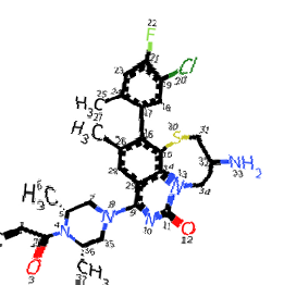 C=CC(=O)N1[C@H](C)CN(c2nc(=O)n3c4c(c(-c5cc(Cl)c(F)cc5C)c(C)cc24)SCC(N)C3)C[C@@H]1C